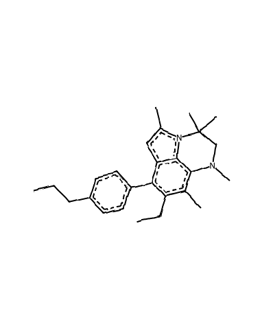 CCCc1ccc(-c2c(CC)c(C)c3c4c2cc(C)n4C(C)(C)CN3C)cc1